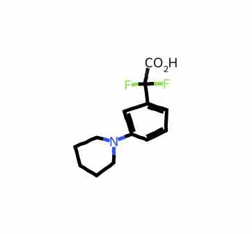 O=C(O)C(F)(F)c1cccc(N2CCCCC2)c1